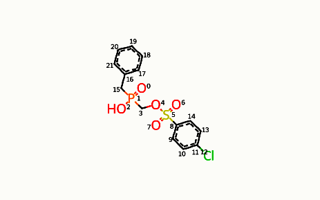 O=P(O)(COS(=O)(=O)c1ccc(Cl)cc1)Cc1ccccc1